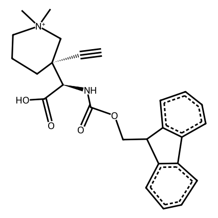 C#C[C@]1([C@@H](NC(=O)OCC2c3ccccc3-c3ccccc32)C(=O)O)CCC[N+](C)(C)C1